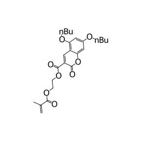 C=C(C)C(=O)OCCOC(=O)c1cc2c(OCCCC)cc(OCCCC)cc2oc1=O